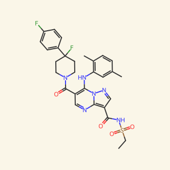 CCS(=O)(=O)NC(=O)c1cnn2c(Nc3cc(C)ccc3C)c(C(=O)N3CCC(F)(c4ccc(F)cc4)CC3)cnc12